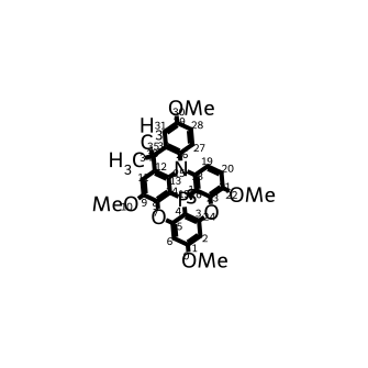 COc1cc2c3c(c1)Oc1c(OC)cc4c5c1P3(=S)c1c(ccc(OC)c1O2)N5c1ccc(OC)cc1C4(C)C